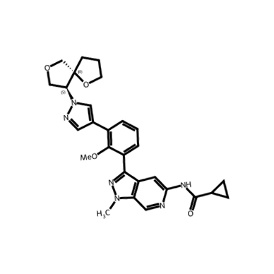 COc1c(-c2cnn([C@H]3COC[C@@]34CCCO4)c2)cccc1-c1nn(C)c2cnc(NC(=O)C3CC3)cc12